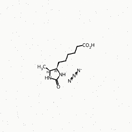 C[C@@H]1NC(=O)N[C@@H]1CCCCCC(=O)O.[N-]=[N+]=[N-]